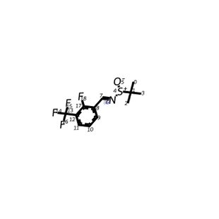 CC(C)(C)[S+]([O-])/N=C/c1cccc(C(F)(F)F)c1F